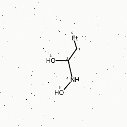 CCCC(O)NO